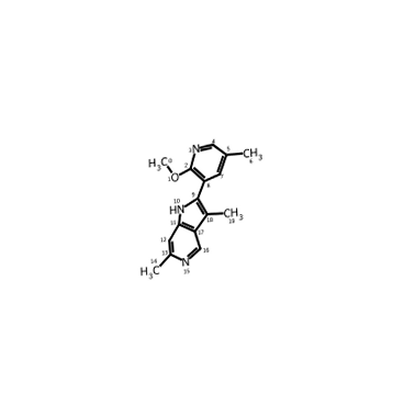 COc1ncc(C)cc1-c1[nH]c2cc(C)ncc2c1C